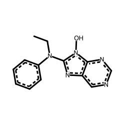 CCN(c1ccccc1)c1nc2cncnc2n1O